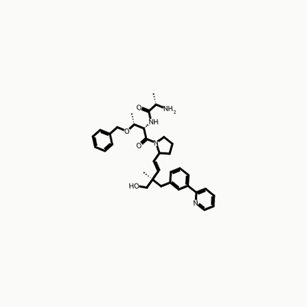 C[C@H](N)C(=O)N[C@H](C(=O)N1CCCC1/C=C/[C@](C)(CO)Cc1cccc(-c2ccccn2)c1)[C@@H](C)OCc1ccccc1